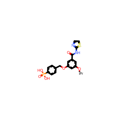 CC(C)Oc1cc(OCc2ccc(P(=O)(O)O)cc2)cc(C(=O)Nc2nccs2)c1